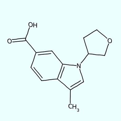 Cc1cn(C2CCOC2)c2cc(C(=O)O)ccc12